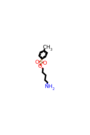 Cc1ccc(S(=O)(=O)OCCCCCN)cc1